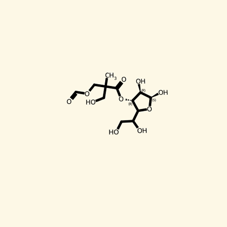 CC(CO)(COC=O)C(=O)O[C@H]1C(C(O)CO)O[C@H](O)[C@@H]1O